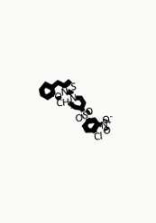 COc1ccccc1Cc1csc(N2CCC(S(=O)(=O)c3ccc(Cl)c([N+](=O)[O-])c3)CC2)n1